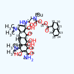 CN(C)c1cc(NC(=O)CN(C(=O)OCOC(=O)c2cccc3ccccc23)C(C)(C)C)c(O)c2c1C[C@H]1C[C@H]3[C@H](N(C)C)C(O)=C(C(N)=O)C(=O)[C@@]3(O)C(O)=C1C2=O